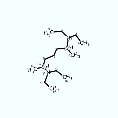 CCN(CC)[SiH](C)CCC[SiH](C)N(CC)CC